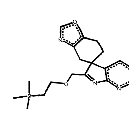 C[Si](C)(C)CCOCC1=Nc2ncccc2C12CCc1ocnc1C2